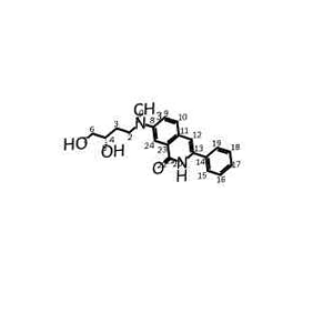 CN(CC[C@H](O)CO)c1ccc2cc(-c3ccccc3)[nH]c(=O)c2c1